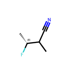 CC(C#N)[C@@H](C)F